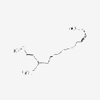 CCCCCCCC/C=C\CCCCCCC(CCOC)C(=O)O